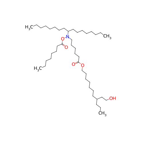 CCCCCCCCC(CCCCCCCC)N(CCCCCC(=O)OCCCCCCCC(CCC)CCO)OC(=O)CCCCCCC